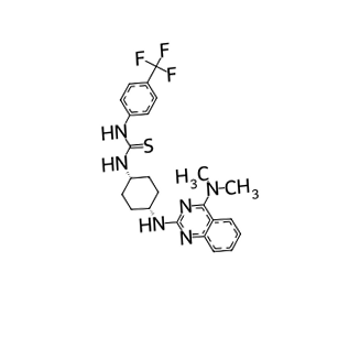 CN(C)c1nc(N[C@H]2CC[C@@H](NC(=S)Nc3ccc(C(F)(F)F)cc3)CC2)nc2ccccc12